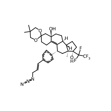 CC1(C)COC2(CCC3=C4[C@@H](CC[C@@]3(O)C2)[C@@H]2CC[C@@](O)(C(F)(F)C(F)(F)F)[C@@]2(C)C[C@@H]4c2ccc(/C=C/CN=[N+]=[N-])cc2)OC1